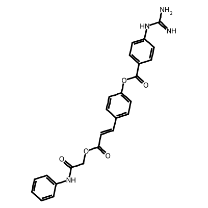 N=C(N)Nc1ccc(C(=O)Oc2ccc(C=CC(=O)OCC(=O)Nc3ccccc3)cc2)cc1